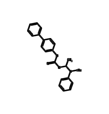 CCCCN(c1ccccc1)C(C)OC(=O)Oc1ccc(-c2ccccc2)cc1